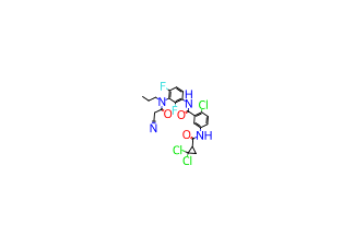 CCCN(C(=O)CC#N)c1c(F)ccc(NC(=O)c2cc(NC(=O)C3CC3(Cl)Cl)ccc2Cl)c1F